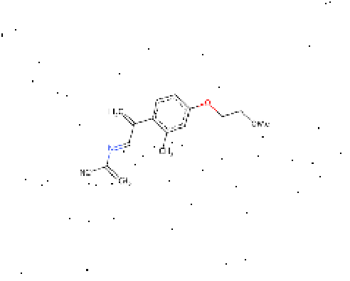 C=C(C#N)/N=C/C(=C)c1ccc(OCCOC)cc1C